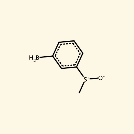 Bc1cccc([S+](C)[O-])c1